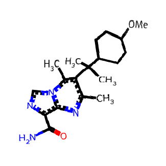 COC1CCC(C(C)(C)c2c(C)nc3c(C(N)=O)ncn3c2C)CC1